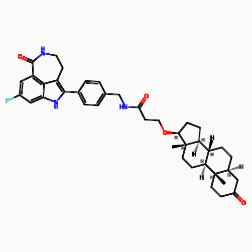 C[C@]12CCC(=O)C[C@@H]1CC[C@@H]1[C@@H]2CC[C@]2(C)[C@@H](OCCC(=O)NCc3ccc(-c4[nH]c5cc(F)cc6c5c4CCNC6=O)cc3)CC[C@@H]12